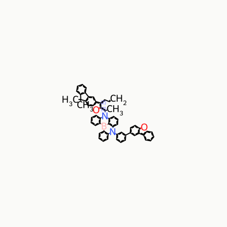 C=C/C=c1\c(=C(/C)N2c3ccccc3B3c4ccccc4N(c4cccc(-c5ccc6oc7ccccc7c6c5)c4)c4cccc2c43)oc2cc3c(cc12)-c1ccccc1C3(C)C